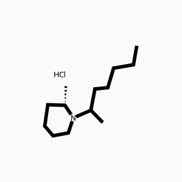 CCCCCC(C)N1CCCC[C@@H]1C.Cl